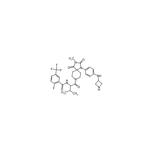 CC(C)C(NC(=O)c1cc(C(F)(F)F)ccc1F)C(=O)N1CCC2(CC1)C(=O)N(C)C(=O)N2c1ccc(NC2CNC2)cc1